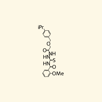 COc1ccccc1C(=O)NC(=S)NNC(=O)COCc1ccc(C(C)C)cc1